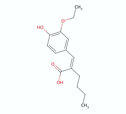 CCCCC(=Cc1ccc(O)c(OCC)c1)C(=O)O